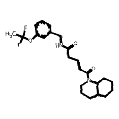 CC(F)(F)Oc1cccc(CNC(=O)CCCC(=O)N2CCCC3CCCCC32)c1